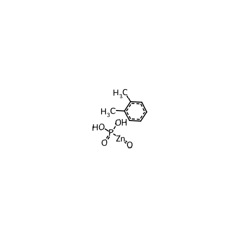 Cc1ccccc1C.[O]=[Zn][P](=O)(O)O